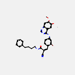 COc1cc2ncnc(Nc3ccc(C=C(C#N)C(=O)NCCCCc4ccccc4)c(Br)c3)c2cc1OC